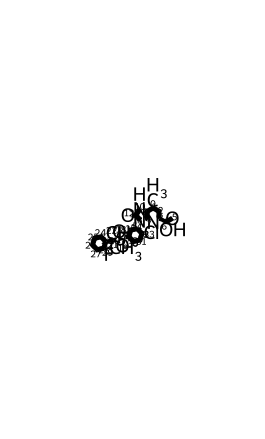 Cc1cc(C(=O)O)nc2c1[nH]c(=O)n2-c1cc(S(=O)(=O)C(C)(C)c2ccccc2F)ccc1Cl